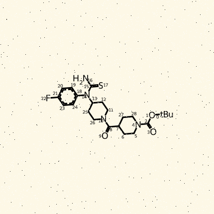 CC(C)(C)OC(=O)N1CCC(C(=O)N2CCC(N(C(N)=S)c3ccc(F)cc3)CC2)CC1